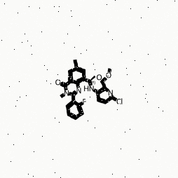 COC(=O)c1nc(Cl)ccc1N[C@H](C)c1cc(C)cc2c(=O)n(C)c(-c3ccccc3F)nc12